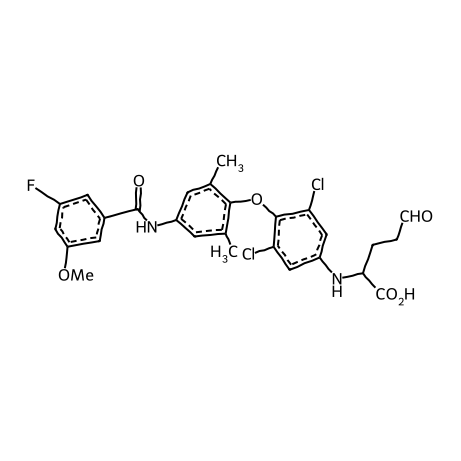 COc1cc(F)cc(C(=O)Nc2cc(C)c(Oc3c(Cl)cc(NC(CCC=O)C(=O)O)cc3Cl)c(C)c2)c1